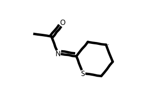 CC(=O)N=C1C[CH]CCS1